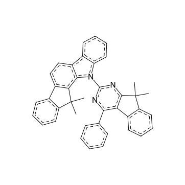 CC1(C)c2ccccc2-c2c(-c3ccccc3)nc(-n3c4ccccc4c4ccc5c(c43)C(C)(C)c3ccccc3-5)nc21